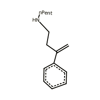 C=C(CCNCCCCC)c1ccccc1